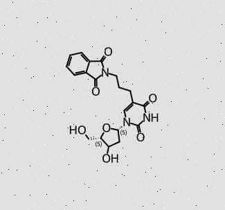 O=C1c2ccccc2C(=O)N1CCCc1cn([C@@H]2CC(O)[C@H](CO)O2)c(=O)[nH]c1=O